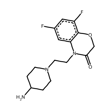 NC1CCN(CCN2C(=O)COc3c(F)cc(F)cc32)CC1